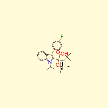 CC[C@@H](C(C)(C)C)C(O[SiH](C)C)(C(=O)O)c1c(-c2ccc(F)cc2)c2ccccc2n1C(C)C